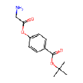 CC(C)(C)OC(=O)c1ccc(OC(=O)CN)cc1